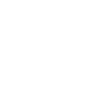 C#CCCn1nc(C)c(-c2ccc(F)cc2)n1